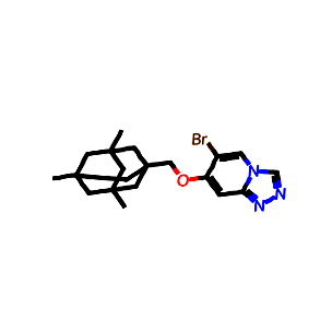 CC12CC3(C)CC(C)(C1)CC(COc1cc4nncn4cc1Br)(C2)C3